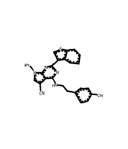 CC(C)n1cc(C#N)c2c(NCCc3ccc(O)cc3)nc(-c3csc4ccccc34)nc21